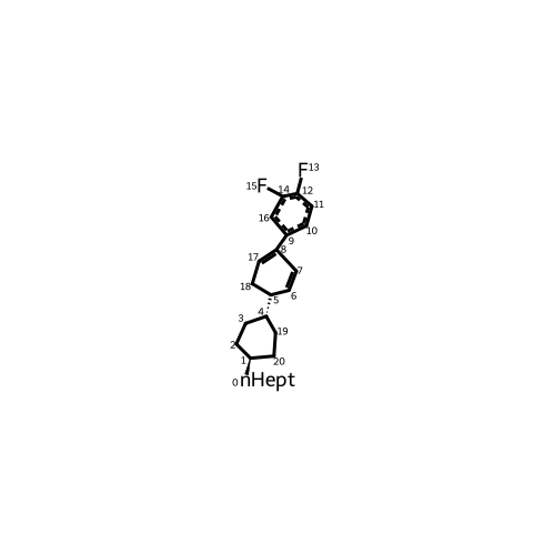 CCCCCCC[C@H]1CC[C@H](C2C=CC(c3ccc(F)c(F)c3)=CC2)CC1